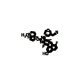 C#Cc1c(F)ccc2cc(O)cc(-c3ncc4c(N5CCOCC(CC#N)C5)nc(OC[C@]56CCC[C@H]5N(C)CCC6)nc4c3F)c12